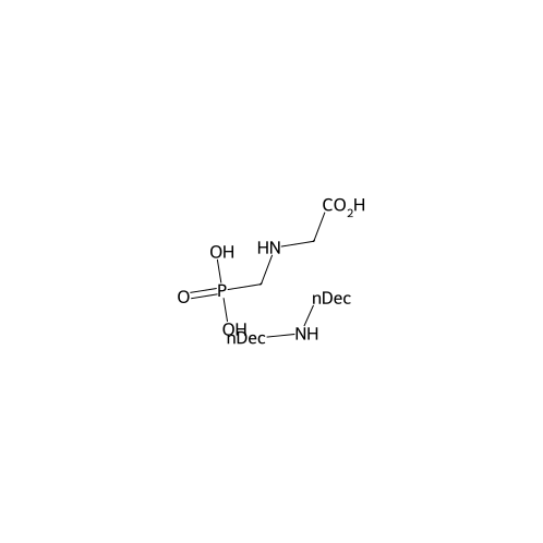 CCCCCCCCCCNCCCCCCCCCC.O=C(O)CNCP(=O)(O)O